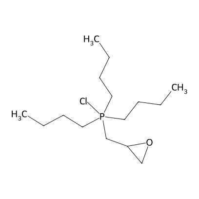 CCCCP(Cl)(CCCC)(CCCC)CC1CO1